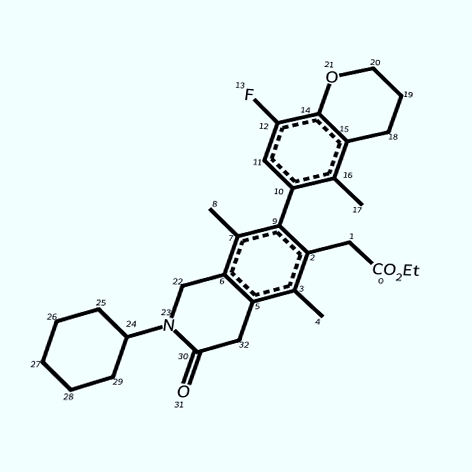 CCOC(=O)Cc1c(C)c2c(c(C)c1-c1cc(F)c3c(c1C)CCCO3)CN(C1CCCCC1)C(=O)C2